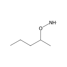 CCCC(C)O[NH]